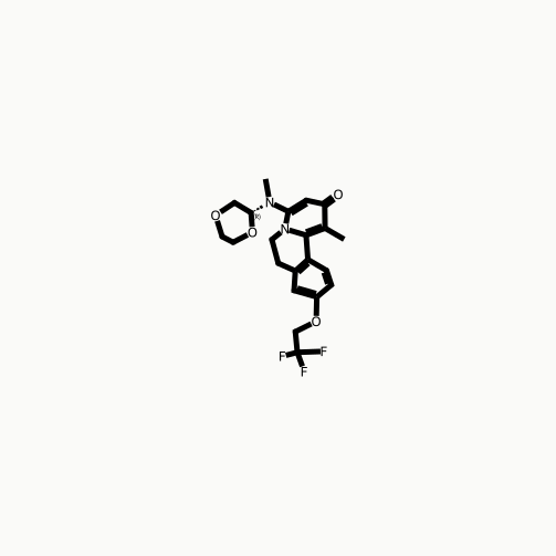 Cc1c2n(c(N(C)[C@H]3COCCO3)cc1=O)CCc1cc(OCC(F)(F)F)ccc1-2